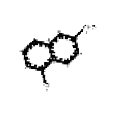 O=[C]c1ccc2c(Cl)cccc2c1